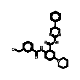 O=C(Nc1ccc(N2CCCCC2)cc1C(=O)Nc1ncc(-c2ccccc2)cn1)c1cccc(CCl)c1